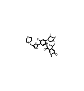 C[C@@H]1CN(c2cc(F)c(-c3ncc(CN4CCOCC4)s3)cc2NC(=O)c2cn(C)c(=O)cc2C(F)F)C[C@H](C)N1C